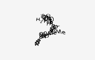 COc1c(OCCCOc2cn3c(c2OC)C=[N+]([O-])C2=CC=C(c4ccc(N5CCN(C)CC5)cc4)CC2C3)cn2c1C=[N+]([O-])C1=CC=C(c3ccc(NC(=O)C(C)NC(=O)C(OC(N)=O)C(C)C)cc3)CC1C2